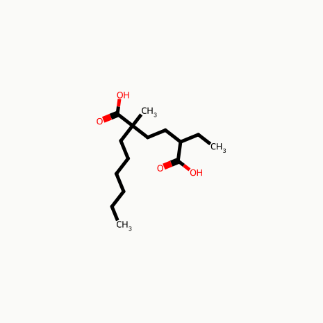 CCCCCCC(C)(CCC(CC)C(=O)O)C(=O)O